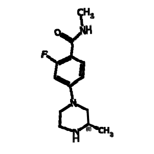 CNC(=O)c1ccc(N2CCN[C@H](C)C2)cc1F